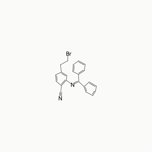 N#Cc1ccc(CCBr)cc1N=C(c1ccccc1)c1ccccc1